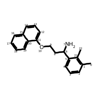 Cc1cccc(C(N)CCOc2cccc3ccccc23)c1C